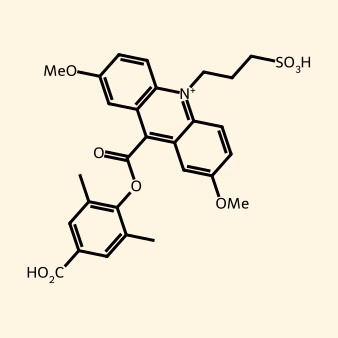 COc1ccc2c(c1)c(C(=O)Oc1c(C)cc(C(=O)O)cc1C)c1cc(OC)ccc1[n+]2CCCS(=O)(=O)O